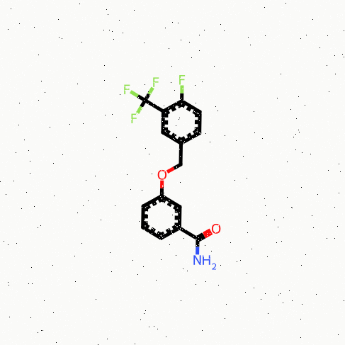 NC(=O)c1cccc(OCc2ccc(F)c(C(F)(F)F)c2)c1